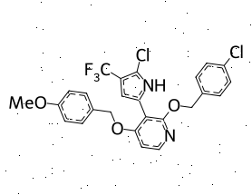 COc1ccc(COc2ccnc(OCc3ccc(Cl)cc3)c2-c2cc(C(F)(F)F)c(Cl)[nH]2)cc1